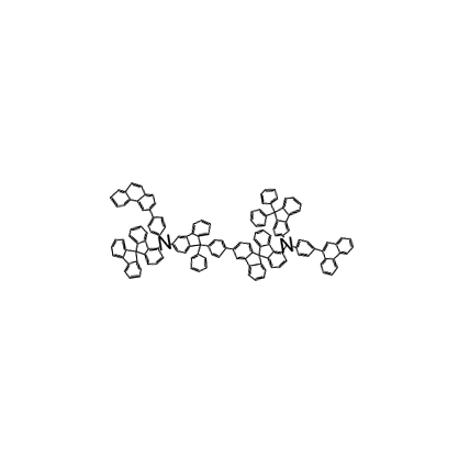 c1ccc(C2(c3ccc(-c4ccc5c(c4)-c4ccccc4C54c5ccccc5-c5c(N(c6ccc(-c7cc8ccccc8c8ccccc78)cc6)c6ccc7c(c6)-c6ccccc6C7(c6ccccc6)c6ccccc6)cccc54)cc3)c3ccccc3-c3cc(N(c4ccc(-c5ccc6ccc7ccccc7c6c5)cc4)c4cccc5c4-c4ccccc4C54c5ccccc5-c5ccccc54)ccc32)cc1